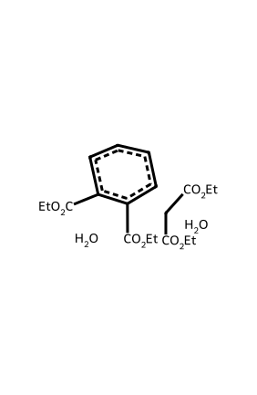 CCOC(=O)CC(=O)OCC.CCOC(=O)c1ccccc1C(=O)OCC.O.O